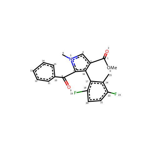 COC(=O)c1cn(C)c(C(=O)c2ccccc2)c1-c1c(F)ccc(F)c1C